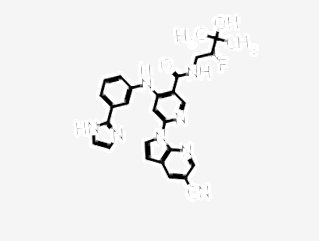 CC(C)(O)[C@H](F)CNC(=O)c1cnc(-n2ccc3cc(C#N)cnc32)cc1Nc1cccc(-c2ncc[nH]2)c1